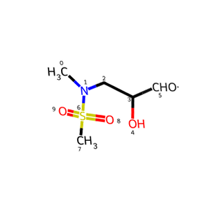 CN(CC(O)[C]=O)S(C)(=O)=O